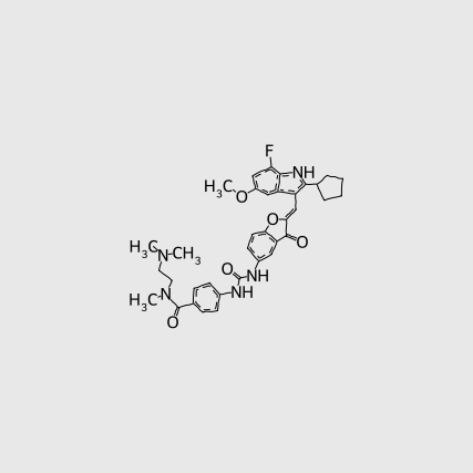 COc1cc(F)c2[nH]c(C3CCCC3)c(C=C3Oc4ccc(NC(=O)Nc5ccc(C(=O)N(C)CCN(C)C)cc5)cc4C3=O)c2c1